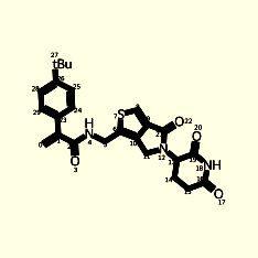 C=C(C(=O)NCc1scc2c1CN(C1CCC(=O)NC1=O)C2=O)c1ccc(C(C)(C)C)cc1